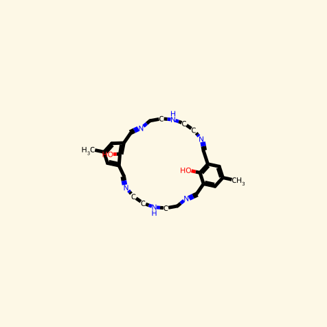 Cc1cc2c(O)c(c1)/C=N/CCNCC/N=C/c1cc(C)cc(c1O)/C=N/CCNCC/N=C/2